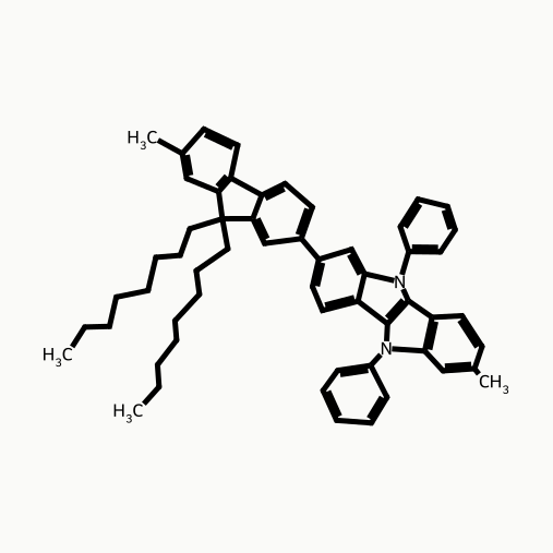 CCCCCCCCC1(CCCCCCCC)c2cc(C)ccc2-c2ccc(-c3ccc4c(c3)n(-c3ccccc3)c3c5ccc(C)cc5n(-c5ccccc5)c43)cc21